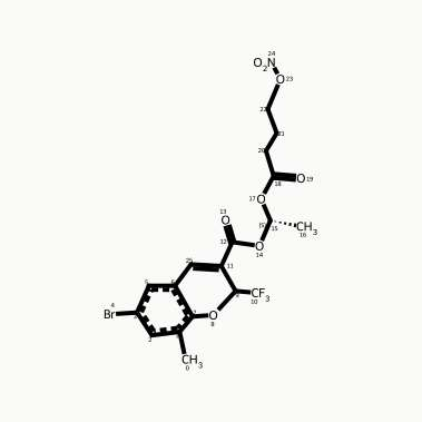 Cc1cc(Br)cc2c1OC(C(F)(F)F)C(C(=O)O[C@@H](C)OC(=O)CCCO[N+](=O)[O-])=C2